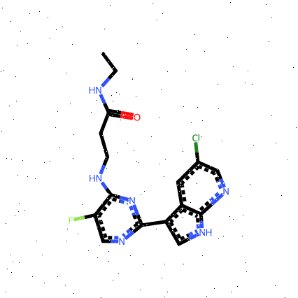 CCNC(=O)CCNc1nc(-c2c[nH]c3ncc(Cl)cc23)ncc1F